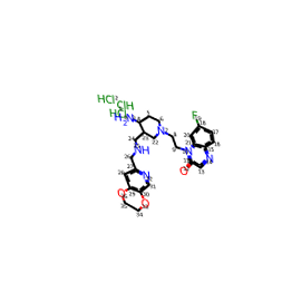 Cl.Cl.Cl.NC1CCN(CCn2c(=O)cnc3ccc(F)cc32)CC1CNCc1cc2c(cn1)OCCO2